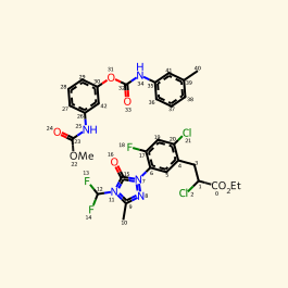 CCOC(=O)C(Cl)Cc1cc(-n2nc(C)n(C(F)F)c2=O)c(F)cc1Cl.COC(=O)Nc1cccc(OC(=O)Nc2cccc(C)c2)c1